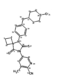 Cc1cc(N2C(=O)C3(CCC3)N(c3ccc(OC4CC[S+]([O-])CC4)cc3)C2=S)cnc1C#N